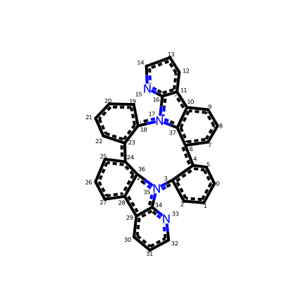 c1ccc2c(c1)c1cccc3c4cccnc4n(c4ccccc4c4cccc5c6cccnc6n2c45)c13